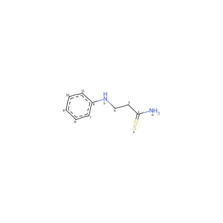 NC(=S)CCNc1ccccc1